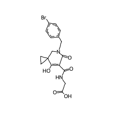 O=C(O)CNC(=O)C1=C(O)C2(CC2)CN(Cc2ccc(Br)cc2)C1=O